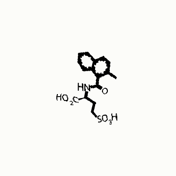 Cc1ccc2ccccc2c1C(=O)N[C@@H](CCS(=O)(=O)O)C(=O)O